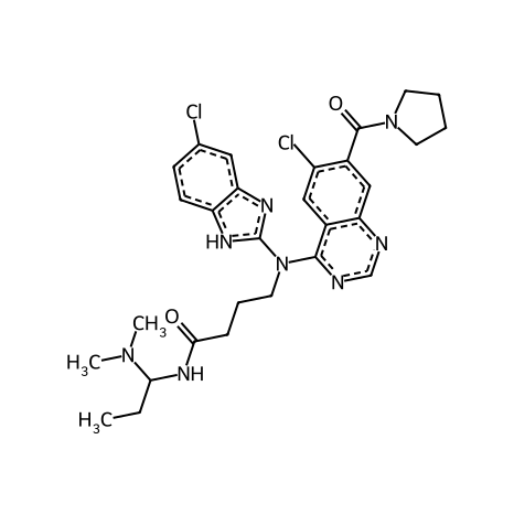 CCC(NC(=O)CCCN(c1nc2cc(Cl)ccc2[nH]1)c1ncnc2cc(C(=O)N3CCCC3)c(Cl)cc12)N(C)C